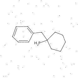 PC1(Cc2ccccc2)CCCCC1